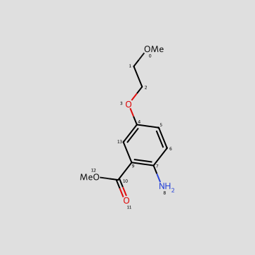 COCCOc1ccc(N)c(C(=O)OC)c1